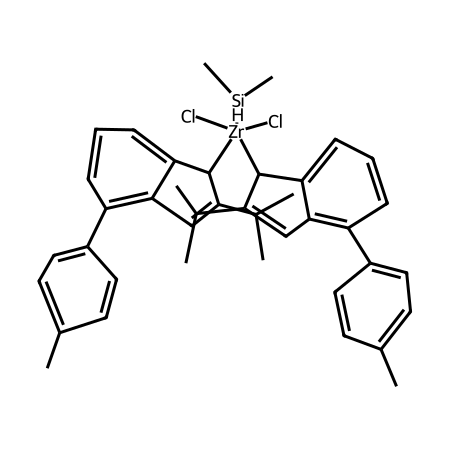 Cc1ccc(-c2cccc3c2C=C(C(C)C)[CH]3[Zr]([Cl])([Cl])([CH]2C(C(C)C)=Cc3c(-c4ccc(C)cc4)cccc32)[SiH](C)C)cc1